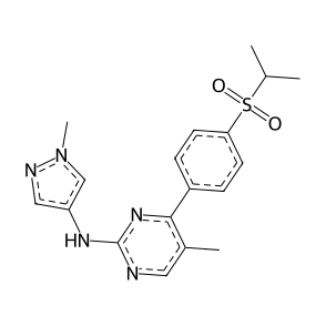 Cc1cnc(Nc2cnn(C)c2)nc1-c1ccc(S(=O)(=O)C(C)C)cc1